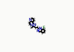 Cc1c(CCc2ncc3cccc(F)c3n2)nc2c3cccnc3ccn12